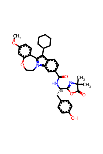 COc1ccc2c(c1)OCCn1c-2c(C2CCCCC2)c2ccc(C(=O)N[C@@H](Cc3ccc(O)cc3)C3=NC(C)(C)C(=O)O3)cc21